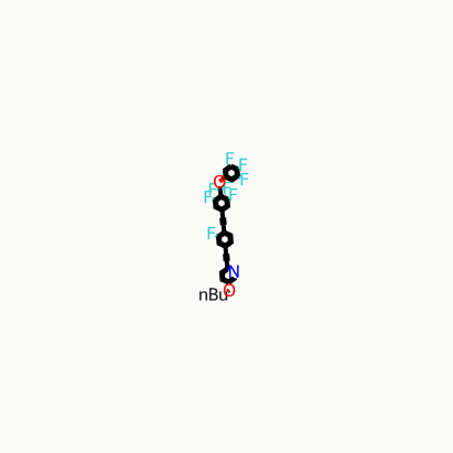 CCCCOc1ccc(C#Cc2ccc(C#Cc3cc(F)c(C(F)(F)Oc4cc(F)c(F)c(F)c4)c(F)c3)c(F)c2)nc1